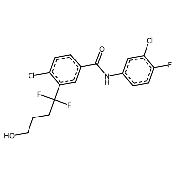 O=C(Nc1ccc(F)c(Cl)c1)c1ccc(Cl)c(C(F)(F)CCCO)c1